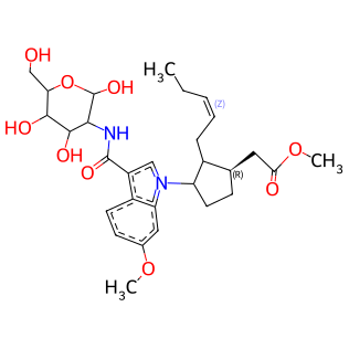 CC/C=C\CC1C(n2cc(C(=O)NC3C(O)OC(CO)C(O)C3O)c3ccc(OC)cc32)CC[C@@H]1CC(=O)OC